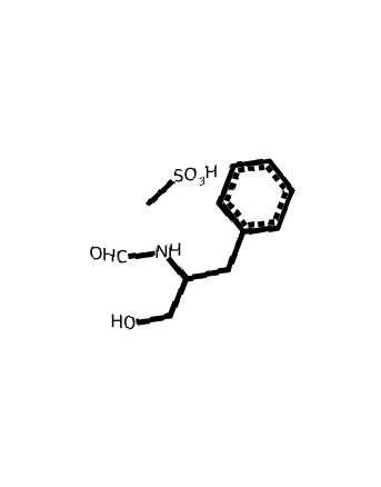 CS(=O)(=O)O.O=CNC(CO)Cc1ccccc1